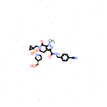 Cn1nc(C(=O)NCc2ccc(C#N)cc2)c2c1C(=O)N(CC1(S(=O)(=O)N3CC[C@@H](CO)C3)CC1)CC2